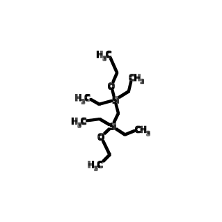 CCO[Si](CC)(CC)C[Si](CC)(CC)OCC